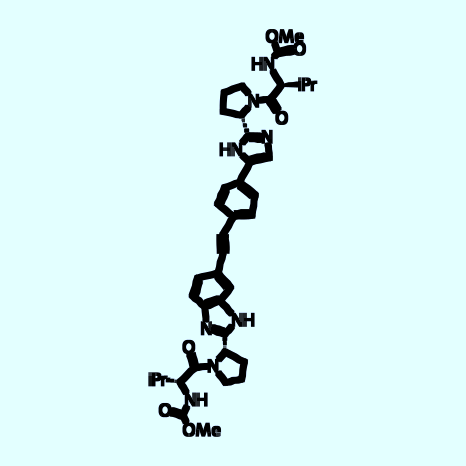 COC(=O)N[C@H](C(=O)N1CCC[C@H]1c1ncc(-c2ccc(C#Cc3ccc4nc([C@@H]5CCCN5C(=O)[C@H](NC(=O)OC)C(C)C)[nH]c4c3)cc2)[nH]1)C(C)C